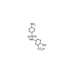 O=C(O)c1cc(NS(=O)(=O)c2ccc([N+](=O)[O-])cc2)ccc1O